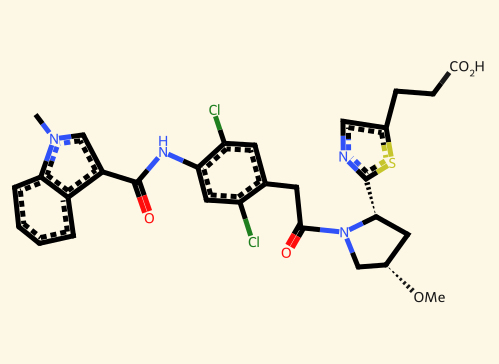 CO[C@H]1C[C@@H](c2ncc(CCC(=O)O)s2)N(C(=O)Cc2cc(Cl)c(NC(=O)c3cn(C)c4ccccc34)cc2Cl)C1